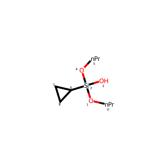 CCCO[Si](O)(OCCC)C1CC1